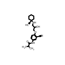 C#CC1(NCC(O)COc2ccc(NC(=O)C(C)C)cc2C#N)CCCCC1